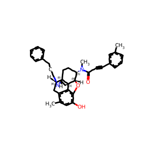 Cc1cccc(C#CC(=O)N(C)[C@H]2CC[C@H]3[C@H]4Cc5c(C)cc(O)c6c5[C@@]3(CCN4CCc3ccccc3)[C@H]2O6)c1